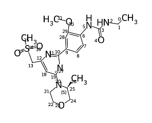 CCNC(=O)Nc1ccc(-c2nc(CS(C)(=O)=O)cc(N3CCOC[C@@H]3C)n2)cc1OC